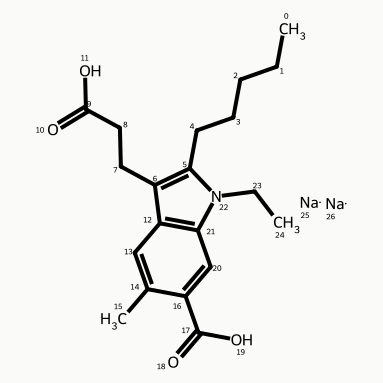 CCCCCc1c(CCC(=O)O)c2cc(C)c(C(=O)O)cc2n1CC.[Na].[Na]